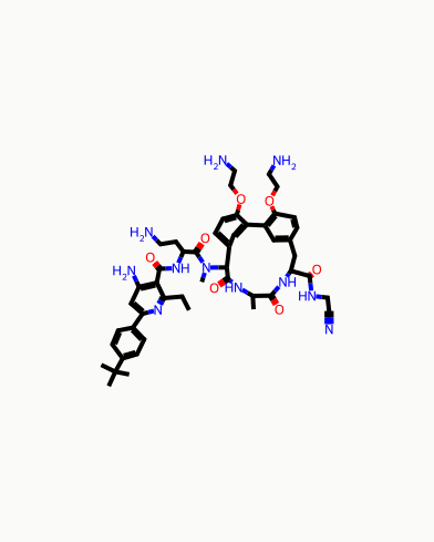 CCc1nc(-c2ccc(C(C)(C)C)cc2)cc(N)c1C(=O)NC(CCN)C(=O)N(C)C1C(=O)NC(C)C(=O)NC(C(=O)NCC#N)Cc2ccc(OCCN)c(c2)-c2cc1ccc2OCCN